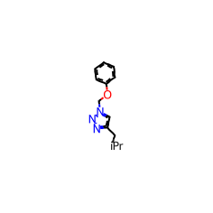 CC(C)Cc1cn(COc2ccccc2)nn1